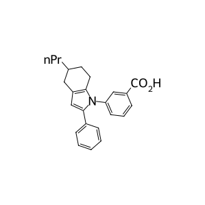 CCCC1CCc2c(cc(-c3ccccc3)n2-c2cccc(C(=O)O)c2)C1